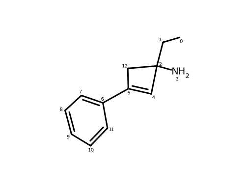 CCC1(N)C=C(c2ccccc2)C1